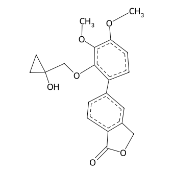 COc1ccc(-c2ccc3c(c2)COC3=O)c(OCC2(O)CC2)c1OC